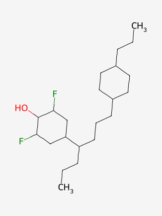 CCCC1CCC(CCCC(CCC)C2CC(F)C(O)C(F)C2)CC1